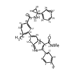 CNC(=O)c1c(-c2ccc(F)cc2)nc2sc(-c3cc(C(=O)NC4(c5cccnc5)CC4)ccc3C)cn12